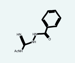 CC(=O)NC(=N)NNC(=O)c1ccccc1